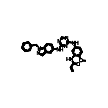 C=CC(=O)Nc1cc(Nc2ncnc(Nc3ccc4c(cnn4Cc4ccccc4)c3)n2)ccc1OC